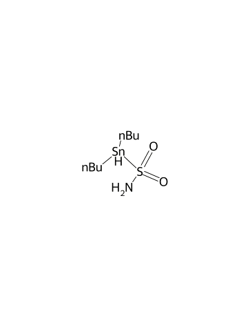 CCC[CH2][SnH]([CH2]CCC)[S](N)(=O)=O